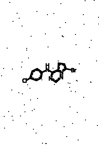 Clc1ccc(Nc2ncnn3c(Br)ccc23)cc1